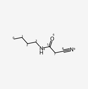 CCCCNC(=O)CC#N